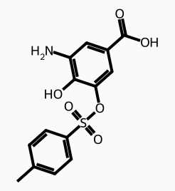 Cc1ccc(S(=O)(=O)Oc2cc(C(=O)O)cc(N)c2O)cc1